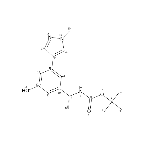 C[C@@H](NC(=O)OC(C)(C)C)c1cc(O)cc(-c2cnn(C)c2)c1